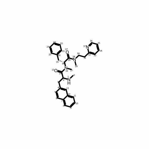 CNC(Cc1ccc2ccccc2c1)C(=O)N(C)[C@H](Cc1ccccc1)C(=O)N(C)CCc1ccccn1